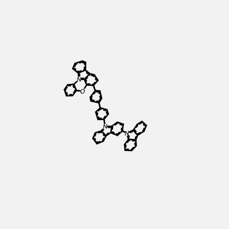 c1ccc2c(c1)Oc1c(-c3ccc(-c4ccc(-n5c6ccccc6c6cc(-n7c8ccccc8c8ccccc87)ccc65)cc4)cc3)ccc3c4ccccc4n-2c13